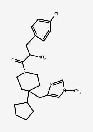 Cn1cnc(CC2(C3CCCC3)CCN(C(=O)C(N)Cc3ccc(Cl)cc3)CC2)c1